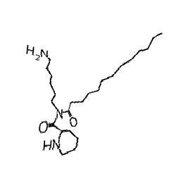 CCCCCCCCCCCCC(=O)N(CCCCCCN)C(=O)[C@H]1CCCCN1